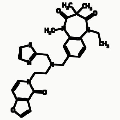 CCN1C(=O)C(C)(C)C(=O)N(C)c2cc(CN(CCn3ccc4occc4c3=O)Cc3nccs3)ccc21